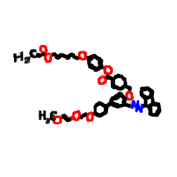 C=CC(=O)OCCCCCCOc1ccc(OC(=O)C2CCC(COc3ccc(C4CCC(OCCOCCOC)CC4)cc3/C=N/N=C3c4ccccc4-c4ccccc43)CC2)cc1